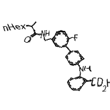 CCCCCCC(C)C(=O)NCc1ccc(F)c(-c2ccc(Nc3ccccc3C(=O)O)cc2)c1